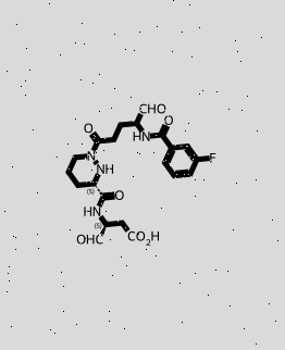 O=CC(CCC(=O)N1CCC[C@@H](C(=O)N[C@H](C=O)CC(=O)O)N1)NC(=O)c1cccc(F)c1